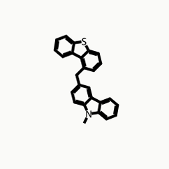 Cn1c2ccccc2c2cc(Cc3cccc4sc5ccccc5c34)ccc21